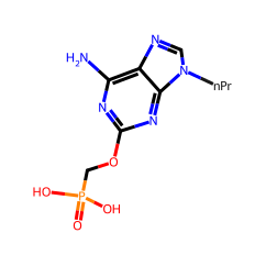 CCCn1cnc2c(N)nc(OCP(=O)(O)O)nc21